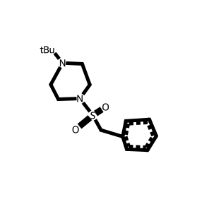 CC(C)(C)N1CCN(S(=O)(=O)Cc2ccccc2)CC1